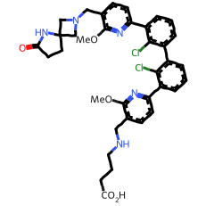 COc1nc(-c2cccc(-c3cccc(-c4ccc(CN5CC6(CCC(=O)N6)C5)c(OC)n4)c3Cl)c2Cl)ccc1CNCCCC(=O)O